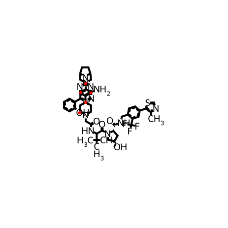 Cc1ncsc1-c1ccc(CNC(=O)[C@@H]2C[C@@H](O)CN2C(=O)C(NC(=O)CN2CCC(c3cnc(N4C5CCC4CN(c4cc(-c6ccccc6O)nnc4N)C5)nc3)CC2)C(C)(C)C)c(C(F)(F)F)c1